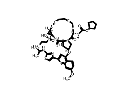 CCCP(=O)(O)[C@@]12C[C@H]1CCCCCCC[C@H](NC(=O)OC1CCCC1)C(=O)N1C[C@H](Oc3cc(-c4csc(NC(C)C)n4)nc4cc(OC)ccc34)C[C@H]1C(=O)N2